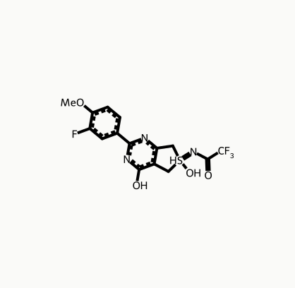 COc1ccc(-c2nc(O)c3c(n2)C[SH](O)(=NC(=O)C(F)(F)F)C3)cc1F